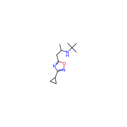 CC(Cc1nc(C2CC2)no1)NC(C)(C)C